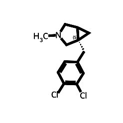 CN1CC2C[C@@]2(Cc2ccc(Cl)c(Cl)c2)C1